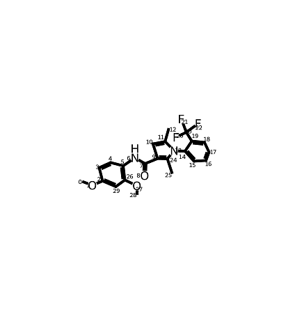 COc1ccc(NC(=O)c2cc(C)n(-c3ccccc3C(F)(F)F)c2C)c(OC)c1